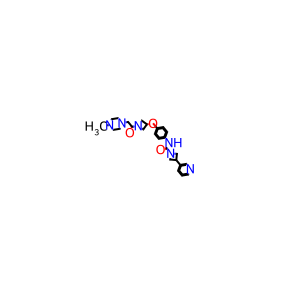 CN1CCN(CC(=O)N2CC(Oc3ccc(NC(=O)N4CC(c5cccnc5)C4)cc3)C2)CC1